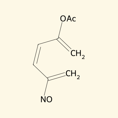 C=C(/C=C\C(=C)OC(C)=O)N=O